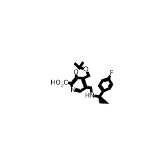 CC1(C)OCc2c(CNC3(c4ccc(F)cc4)CC3)cnc(C(=O)O)c2O1